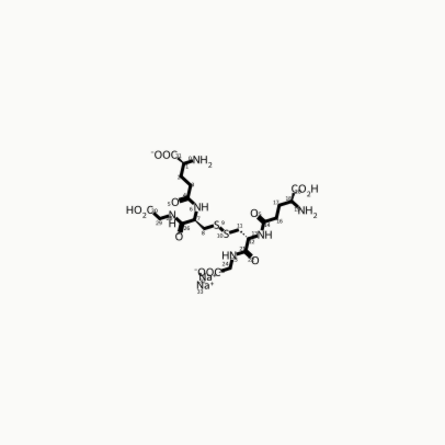 N[C@@H](CCC(=O)N[C@@H](CSSC[C@H](NC(=O)CC[C@H](N)C(=O)O)C(=O)NCC(=O)[O-])C(=O)NCC(=O)O)C(=O)[O-].[Na+].[Na+]